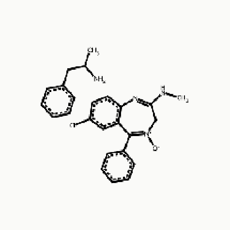 CC(N)Cc1ccccc1.CNC1=Nc2ccc(Cl)cc2C(c2ccccc2)=[N+]([O-])C1